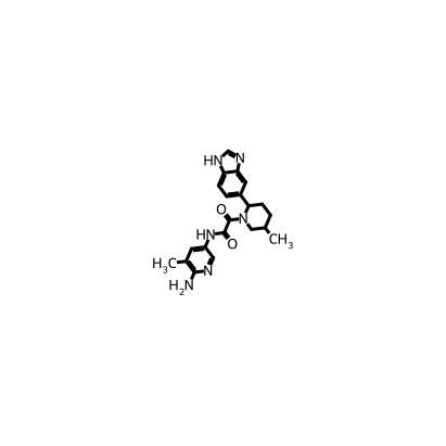 Cc1cc(NC(=O)C(=O)N2CC(C)CCC2c2ccc3[nH]cnc3c2)cnc1N